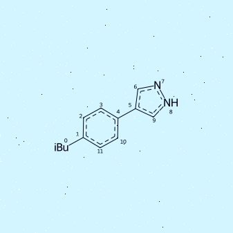 CCC(C)c1ccc(-c2cn[nH]c2)cc1